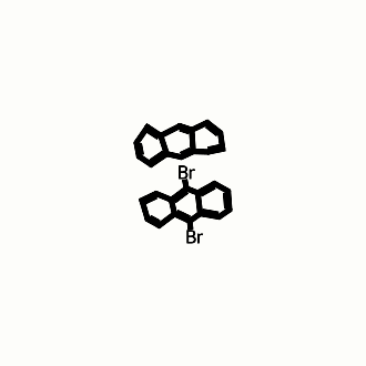 Brc1c2ccccc2c(Br)c2ccccc12.c1ccc2cc3ccccc3cc2c1